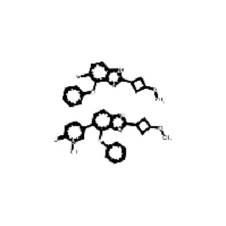 COC1CC(c2nc3c(Oc4ccccc4)c(-c4ccc(=O)n(C)c4)ccc3[nH]2)C1.COC1CC(c2nc3c(Oc4ccccc4)c(Br)ccc3[nH]2)C1